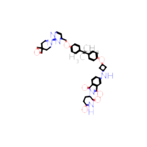 CC(C)(c1ccc(OCc2ccnc(N3CCC4(CC3)COC4)n2)cc1)c1ccc(OC2CC(Nc3ccc4c(c3)C(=O)N(C3CCC(=O)NC3=O)C4=O)C2)cc1